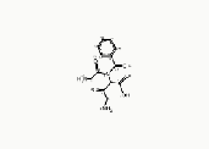 NCC(=O)C(C(=O)O)N(C(=O)CN)C(=O)c1ccccc1